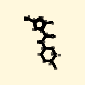 Cc1nc(Br)sc1C(=O)NC1CCN(C)[13CH2]C1